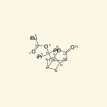 CCC(C)C(=O)OC(C(C)C)(C(C)C)C1C2CC3OC(=O)C1C3C2